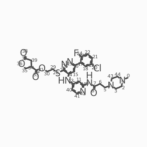 CN1CCN(CCC(=O)Nc2cc(Nc3cc(-c4cc(Cl)ccc4F)nnc3SCCOC(=O)C3COC(=O)C3)ccn2)CC1